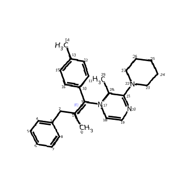 C/C(Cc1ccccc1)=C(/c1ccc(C)cc1)N1C=CN=C(N2CCCCC2)C1C